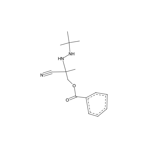 CC(C)(C)NNC(C)(C#N)COC(=O)c1ccccc1